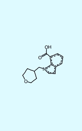 O=C(O)c1cccc2ccn(CC3CCOCC3)c12